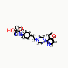 CC(C)(O)C(=O)NC1CCC(CCN2CCN(c3nccc4c3CCO4)CC2)CC1